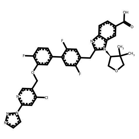 CC1(C)COC[C@H]1n1c(Cc2cc(F)c(-c3ccc(F)c(OCc4cnc(-n5ccnn5)cc4Cl)c3)cc2F)nc2ccc(C(=O)O)cc21